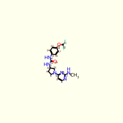 CNc1nccc(N2CCC(NC(=O)Nc3ccc(OC(F)F)cc3)C2)n1